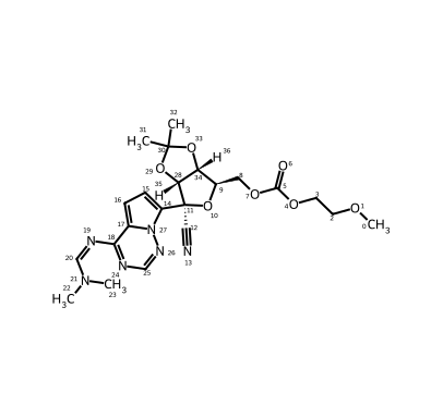 COCCOC(=O)OC[C@H]1O[C@@](C#N)(c2ccc3c(/N=C\N(C)C)ncnn23)[C@@H]2OC(C)(C)O[C@@H]21